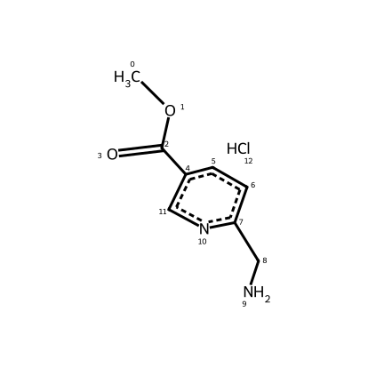 COC(=O)c1ccc(CN)nc1.Cl